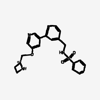 O=S(=O)(NCc1cccc(-c2cncc(OC[C@@H]3CCN3)c2)c1)c1ccccc1